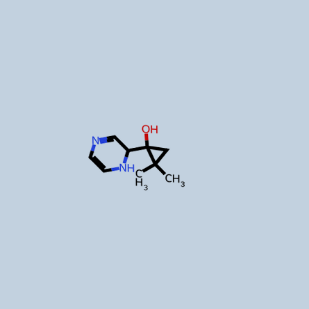 CC1(C)CC1(O)C1C=NC=CN1